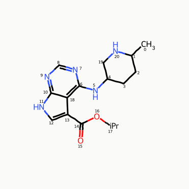 CC1CCC(Nc2ncnc3[nH]cc(C(=O)OC(C)C)c23)CN1